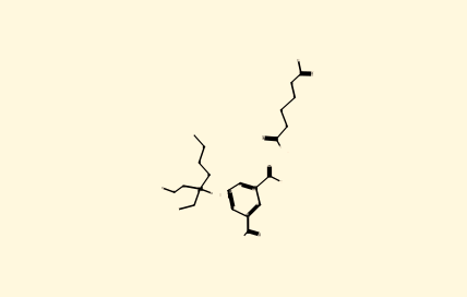 CCCCC(O)(CC)CCO.O=C(O)CCCCC(=O)O.O=C(O)c1cccc(C(=O)O)c1